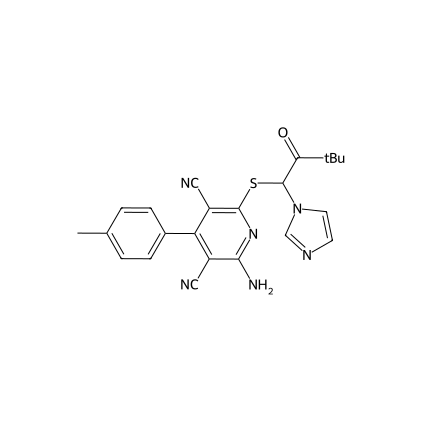 Cc1ccc(-c2c(C#N)c(N)nc(SC(C(=O)C(C)(C)C)n3ccnc3)c2C#N)cc1